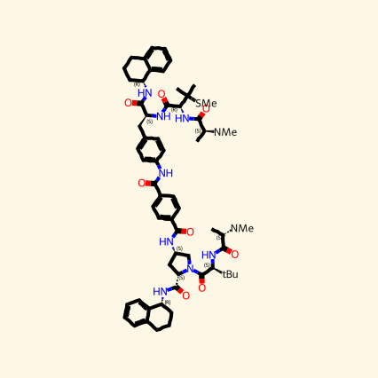 CN[C@@H](C)C(=O)N[C@H](C(=O)N1C[C@@H](NC(=O)c2ccc(C(=O)Nc3ccc(C[C@H](NC(=O)[C@@H](NC(=O)[C@H](C)NC)C(C)(C)SC)C(=O)N[C@@H]4CCCc5ccccc54)cc3)cc2)C[C@H]1C(=O)N[C@@H]1CCCc2ccccc21)C(C)(C)C